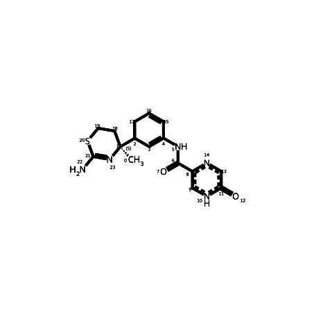 C[C@@]1(C2C=C(NC(=O)c3c[nH]c(=O)cn3)C=CC2)CCSC(N)=N1